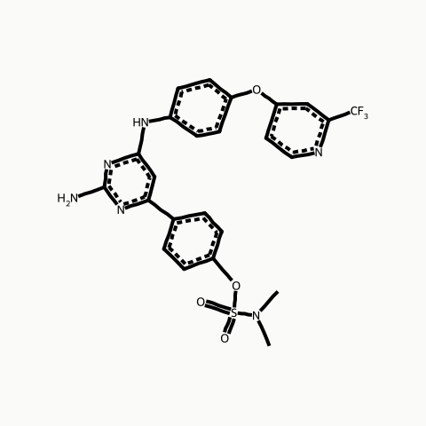 CN(C)S(=O)(=O)Oc1ccc(-c2cc(Nc3ccc(Oc4ccnc(C(F)(F)F)c4)cc3)nc(N)n2)cc1